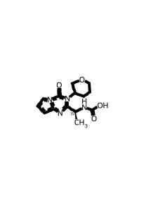 C[C@H](NC(=O)O)c1nc2cccn2c(=O)n1C1CCCOC1